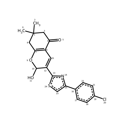 CC1(C)CC(=O)C2=C(C1)OC(O)C(c1nc(-c3ccc(Cl)cc3)cs1)=C2